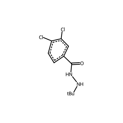 CC(C)(C)NNC(=O)c1ccc(Cl)c(Cl)c1